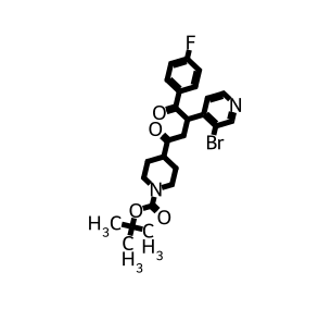 CC(C)(C)OC(=O)N1CCC(C(=O)CC(C(=O)c2ccc(F)cc2)c2ccncc2Br)CC1